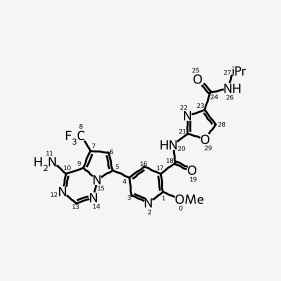 COc1ncc(-c2cc(C(F)(F)F)c3c(N)ncnn23)cc1C(=O)Nc1nc(C(=O)NC(C)C)co1